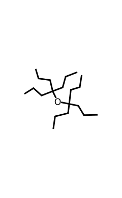 CCCC(CCC)(CCC)OC(CCC)(CCC)CCC